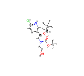 CC(C)(C)OC(=O)N(CCO)CC(O[Si](C)(C)C(C)(C)C)c1ccc(Cl)nc1